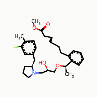 COC(=O)C/C=C/CCc1ccccc1[C@@H](C)OC[C@H](O)CN1CCC[C@H]1Cc1ccc(C)c(F)c1